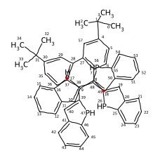 CC(C)(C)c1ccc(C(c2cc3ccccc3[pH]2)c2cc3ccccc3[pH]2)c(-c2cc(C(C)(C)C)ccc2C(c2cc3ccccc3[pH]2)c2cc3ccccc3[pH]2)c1